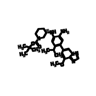 COc1cc(-c2cc(N)c(N[C@H]3CCCN(C(=O)OC(C)(C)C)C3)cc2C(C)C)cn2ncnc12